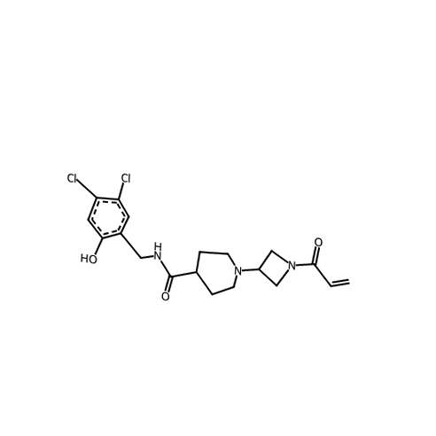 C=CC(=O)N1CC(N2CCC(C(=O)NCc3cc(Cl)c(Cl)cc3O)CC2)C1